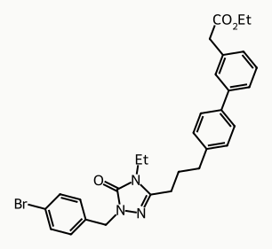 CCOC(=O)Cc1cccc(-c2ccc(CCCc3nn(Cc4ccc(Br)cc4)c(=O)n3CC)cc2)c1